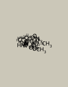 CCCc1nc(C(=O)OCc2ccc(-c3ccccc3-c3nnn[nH]3)cc2)c(C(C)O)n1CC1OC(=O)OC1C